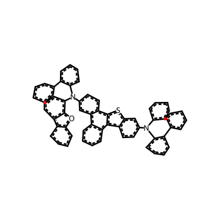 c1ccc(-c2ccccc2N(c2ccccc2)c2ccc3c(c2)sc2c4ccc(N(c5ccccc5-c5ccccc5)c5cccc6c5oc5ccccc56)cc4c4ccccc4c32)cc1